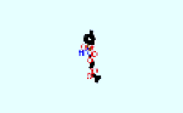 C=C(C)C(=O)OCCOC(=O)NS(=O)(=O)c1ccc(C)cc1